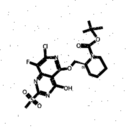 CC(C)(C)OC(=O)N1CCCC[C@H]1COc1nc(Cl)c(F)c2nc(S(C)(=O)=O)nc(O)c12